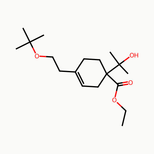 CCOC(=O)C1(C(C)(C)O)CC=C(CCOC(C)(C)C)CC1